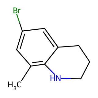 Cc1cc(Br)cc2c1NCCC2